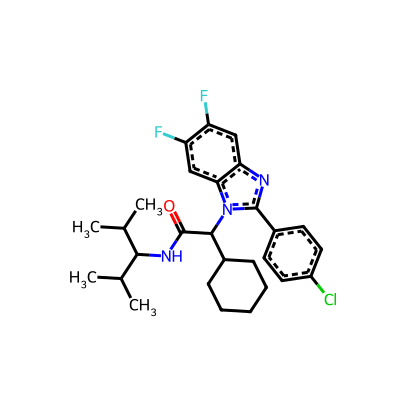 CC(C)C(NC(=O)C(C1CCCCC1)n1c(-c2ccc(Cl)cc2)nc2cc(F)c(F)cc21)C(C)C